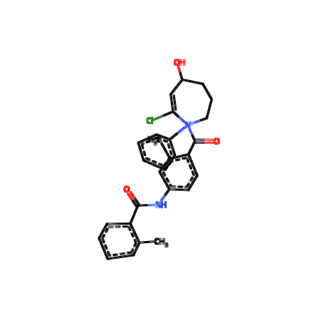 Cc1ccccc1C(=O)Nc1ccc(C(=O)[N+]2(c3ccccc3)CCCC(O)C=C2Cl)c(C)c1